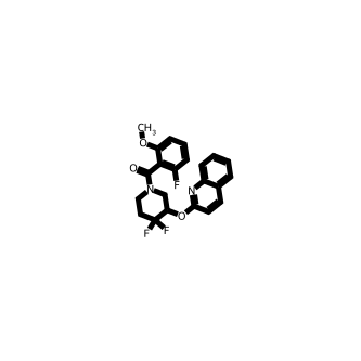 COc1cccc(F)c1C(=O)N1CCC(F)(F)C(Oc2ccc3ccccc3n2)C1